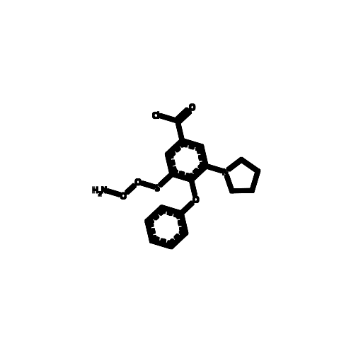 NOOSc1cc(C(=O)Cl)cc(N2CCCC2)c1Oc1ccccc1